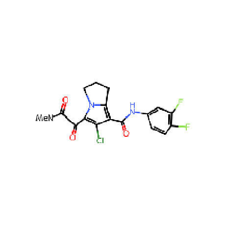 CNC(=O)C(=O)c1c(Cl)c(C(=O)Nc2ccc(F)c(F)c2)c2n1CCC2